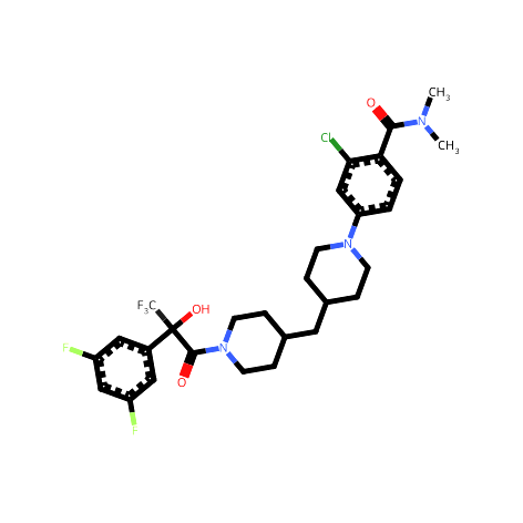 CN(C)C(=O)c1ccc(N2CCC(CC3CCN(C(=O)C(O)(c4cc(F)cc(F)c4)C(F)(F)F)CC3)CC2)cc1Cl